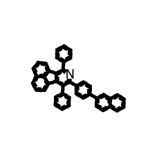 c1ccc(-c2nc(-c3ccc(-c4ccc5ccccc5c4)cc3)c(-c3ccccc3)c3c2-c2cccc4cccc-3c24)cc1